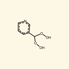 OOC(OO)c1cccnc1